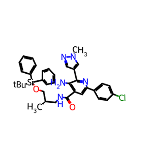 C[C@H](CNC(=O)c1cc(-c2ccc(Cl)cc2)nc(-c2cnn(C)c2)c1N)CO[Si](c1ccccc1)(c1ccccc1)C(C)(C)C